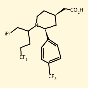 CC(C)CC(CCC(F)(F)F)N1CC[C@@H](CC(=O)O)C[C@H]1c1ccc(C(F)(F)F)cc1